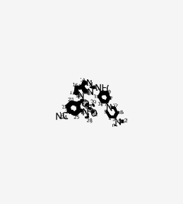 CN(C)C1CCN(c2ccc(Nc3ncc4ccn(Cc5ccc(C#N)cc5N(C)S(C)(=O)=O)c4n3)cc2)CC1